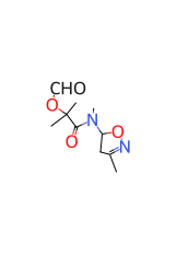 CC1=NOC(N(C)C(=O)C(C)(C)OC=O)C1